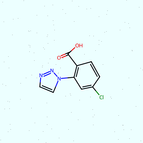 O=C(O)c1ccc(Cl)cc1-n1ccnn1